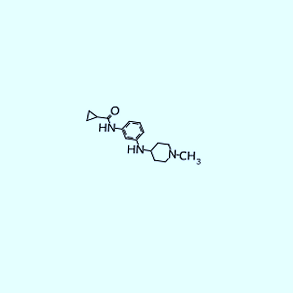 CN1CCC(Nc2cccc(NC(=O)C3CC3)c2)CC1